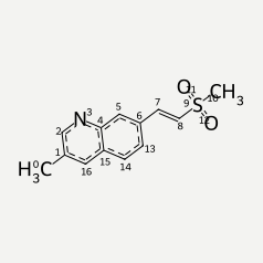 Cc1cnc2cc(C=CS(C)(=O)=O)ccc2c1